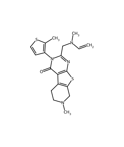 C=CN(C)Cc1nc2sc3c(c2c(=O)n1-c1ccsc1C)CCN(C)C3